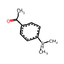 CC(=O)c1ccc([SiH](C)C)cc1